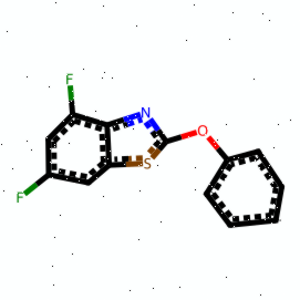 Fc1cc(F)c2nc(Oc3cc[c]cc3)sc2c1